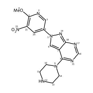 COc1ncc(-n2cc3c(N4CCNCC4)ncnc3n2)cc1[N+](=O)[O-]